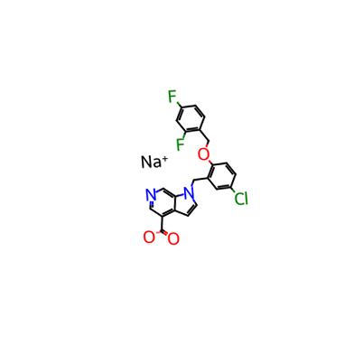 O=C([O-])c1cncc2c1ccn2Cc1cc(Cl)ccc1OCc1ccc(F)cc1F.[Na+]